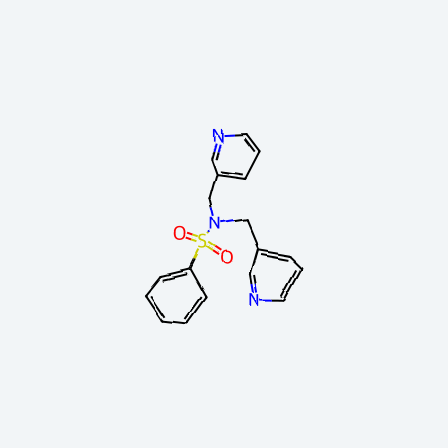 O=S(=O)(c1ccccc1)N(Cc1cccnc1)Cc1cccnc1